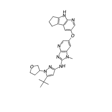 Cn1c(Nc2cc(C(C)(C)C)n(C3CCOC3)n2)nc2ncc(Oc3cnc4[nH]c5c(c4c3)CCC5)cc21